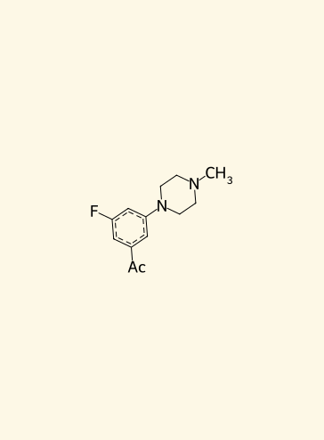 CC(=O)c1cc(F)cc(N2CCN(C)CC2)c1